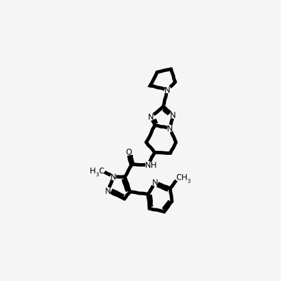 Cc1cccc(-c2cnn(C)c2C(=O)NC2CCn3nc(N4CCCC4)nc3C2)n1